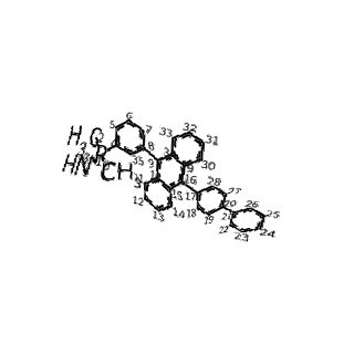 CP(C)(=N)c1cccc(-c2c3ccccc3c(-c3ccc(-c4ccccc4)cc3)c3ccccc23)c1